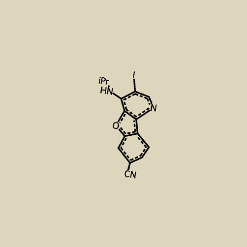 CC(C)Nc1c(I)cnc2c1oc1cc(C#N)ccc12